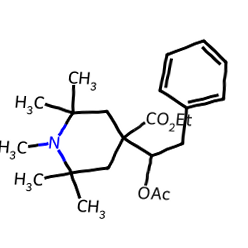 CCOC(=O)C1(C(Cc2ccccc2)OC(C)=O)CC(C)(C)N(C)C(C)(C)C1